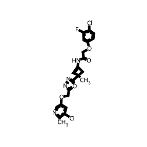 Cc1ncc(OCc2nnc(C3(C)C=C(NC(=O)COc4ccc(Cl)c(F)c4)C3)o2)cc1Cl